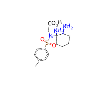 Cc1ccc(S(=O)(=O)N(CC(=O)O)[C@@]2(N)CCCC[C@@H]2N)cc1